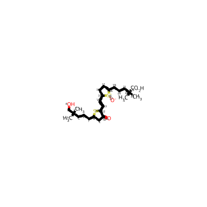 CC(C)(CO)CCCC1CC(=O)C(C=CC2CCC(CCCC(C)(C)C(=O)O)[S+]2[O-])S1